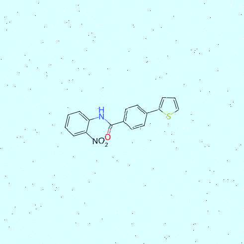 O=C(Nc1ccccc1[N+](=O)[O-])c1ccc(-c2cccs2)cc1